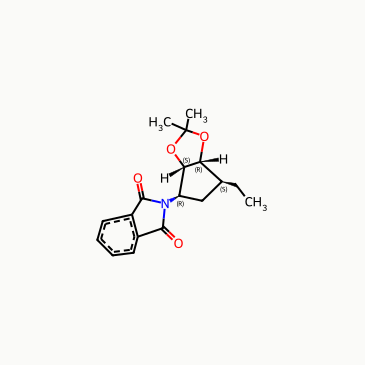 CC[C@H]1C[C@@H](N2C(=O)c3ccccc3C2=O)[C@@H]2OC(C)(C)O[C@H]12